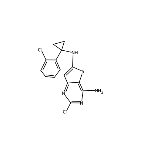 Nc1nc(Cl)nc2cc(NC3(c4ccccc4Cl)CC3)sc12